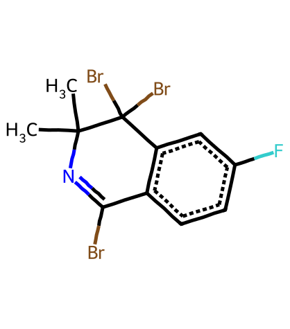 CC1(C)N=C(Br)c2ccc(F)cc2C1(Br)Br